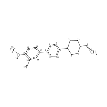 C=CC1CCC(c2ccc(-c3ccc(OC(F)(F)F)c(F)c3)cc2)CC1